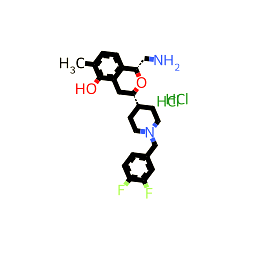 Cc1ccc2c(c1O)C[C@@H](C1CCN(Cc3ccc(F)c(F)c3)CC1)O[C@H]2CN.Cl.Cl